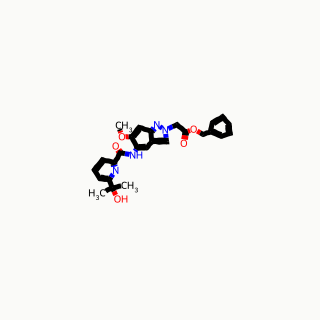 COc1cc2nn(CC(=O)OCc3ccccc3)cc2cc1NC(=O)c1cccc(C(C)(C)O)n1